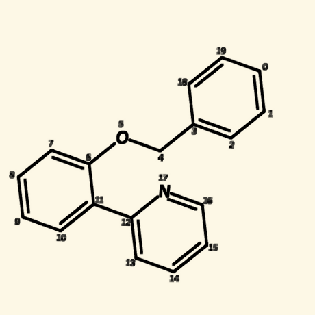 c1ccc(COc2ccccc2-c2ccccn2)cc1